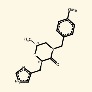 COc1ccc(CN2C[C@@H](C)O[C@H](Cc3c[nH]cn3)C2=O)cc1